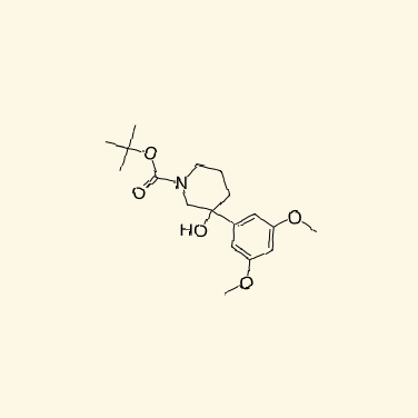 COc1cc(OC)cc(C2(O)CCCN(C(=O)OC(C)(C)C)C2)c1